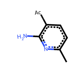 CC(=O)c1ccc(C)nc1N